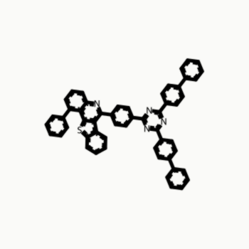 c1ccc(-c2ccc(-c3nc(-c4ccc(-c5ccccc5)cc4)nc(-c4ccc(-c5nc6cccc(-c7ccccc7)c6c6sc7ccccc7c56)cc4)n3)cc2)cc1